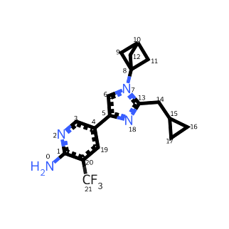 Nc1ncc(-c2cn(C34CC(C3)C4)c(CC3CC3)n2)cc1C(F)(F)F